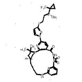 CC1(C)C[C@@H]2CCCNc3cccc(n3)S(=O)(=O)NC(=O)c3ccc(-n4ccc(OCC[C@@H](O)C5(C(F)(F)F)CC5)n4)nc3N1C2